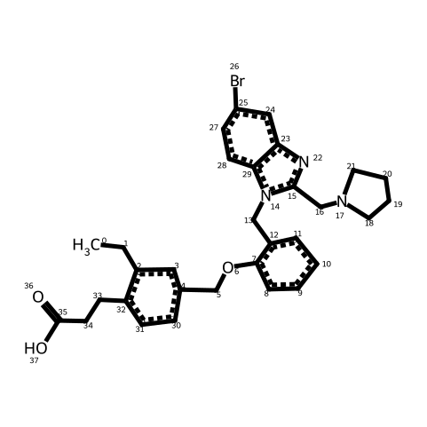 CCc1cc(COc2ccccc2Cn2c(CN3CCCC3)nc3cc(Br)ccc32)ccc1CCC(=O)O